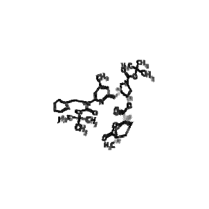 Cc1cc(C[C@@H]2CN(C(=O)OC(C)(C)C)C[C@@H]2OC(=O)[C@]23CC[C@](C)(C2)C(=O)O3)nc(N(Cc2ccccc2)C(=O)OC(C)(C)C)c1